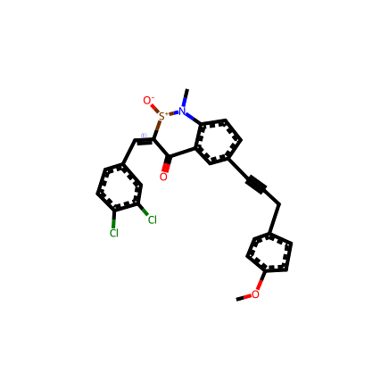 COc1ccc(CC#Cc2ccc3c(c2)C(=O)/C(=C\c2ccc(Cl)c(Cl)c2)[S+]([O-])N3C)cc1